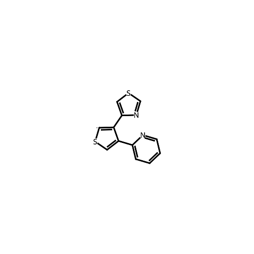 [c]1scc(-c2ccccn2)c1-c1cscn1